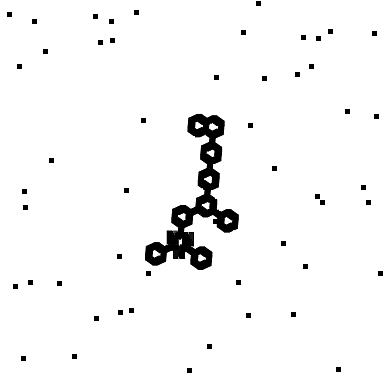 c1ccc(-c2cc(-c3ccc(-c4ccc(-c5cccc6ccccc56)cc4)cc3)cc(-c3cccc(-c4nc(-c5ccccc5)nc(-c5ccccc5)n4)c3)c2)cc1